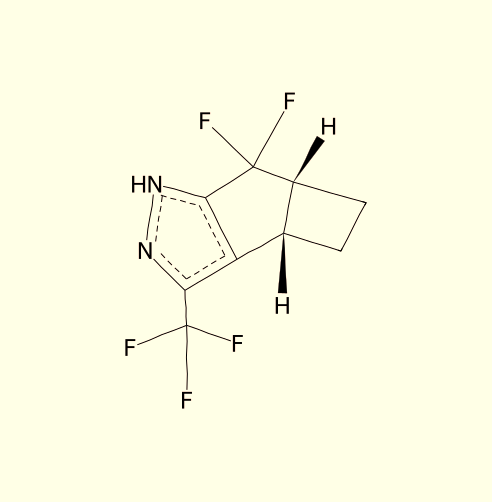 FC(F)(F)c1n[nH]c2c1[C@H]1CC[C@H]1C2(F)F